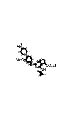 CCOC(=O)C1CSc2nc(Nc3ccc(N4CCC(N(C)C)CC4)c(OC)c3)nc(NC3(C)CC3)c21